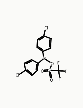 O=S(=O)(O[I+](c1ccc(Cl)cc1)c1ccc(Cl)cc1)C(F)(F)F